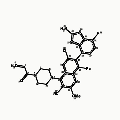 C=CC(=O)N1CCN(c2c(C#N)c(OC)nc3c(F)c(-c4ccc(F)c5sc(N)nc45)c(Cl)cc23)CC1